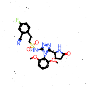 COc1cccc(OC)c1-n1c(NS(=O)(=O)CCc2ccc(F)cc2C#N)nnc1C1CCC(=O)N1